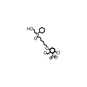 O=Cc1c(OCCCCCC(=O)N(CCO)C2CCCCC2)ccc(Cl)c1[N+](=O)[O-]